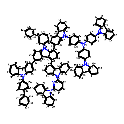 C1=Cc2c(n(-c3ccc(N(c4ccc(-n5c6ccccc6c6ccccc65)cc4)c4ccc(-n5c6ccccc6c6ccc(-c7ccc(-c8cccc9c8c8ccccc8n9-c8cccc(-n9c%10ccccc%10c%10ccccc%109)n8)c8c9cc(-c%10ccc%11c(c%10)c%10ccccc%10n%11-c%10ccc(-c%11ccccc%11)cc%10)ccc9n(-c9cccc(-c%10ccccc%10)c9)c78)cc65)cc4)cc3)c3ccccc23)CC1